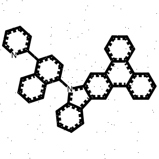 c1ccc(-c2ccc(-n3c4ccccc4c4cc5c6ccccc6c6ccccc6c5cc43)c3ccccc23)nc1